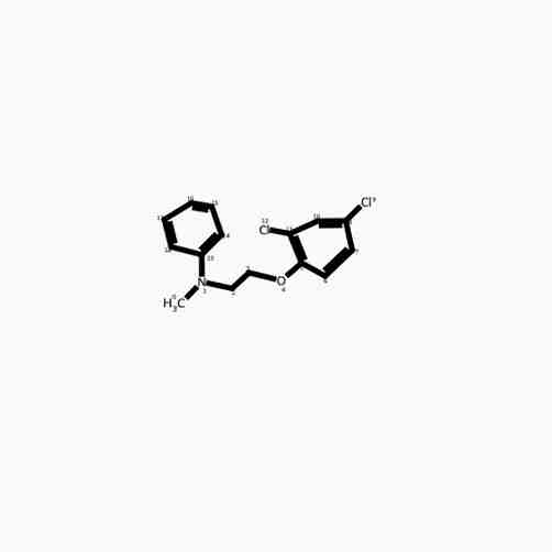 CN(CCOc1ccc(Cl)cc1Cl)c1ccccc1